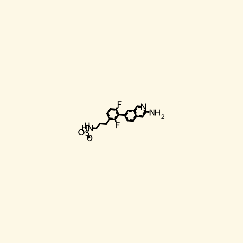 Nc1cc2ccc(-c3c(F)ccc(CCCN[SH](=O)=O)c3F)cc2cn1